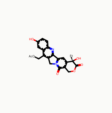 CC[C@@]1(O)C(=O)OCc2c1cc1n(c2=O)Cc2c-1nc1ccc(O)cc1c2COC(C)=O